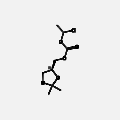 CC(Cl)OC(=O)OC[C@@H]1COC(C)(C)O1